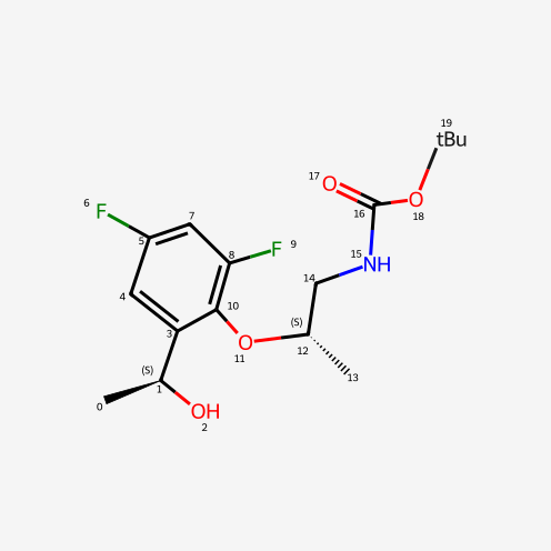 C[C@H](O)c1cc(F)cc(F)c1O[C@@H](C)CNC(=O)OC(C)(C)C